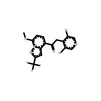 COc1ccc(C(=O)Cc2c(Cl)cncc2Cl)c2cc(C(F)(F)F)nn12